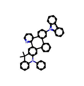 CC1(C)c2ccccc2N(c2ccccc2)c2cc3c(cc21)-c1ncccc1-c1ccc(-n2c4ccccc4c4ccccc42)cc1-c1ccccc1-3